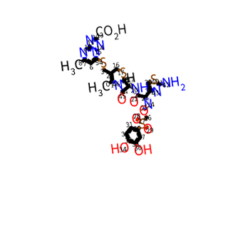 CC1=C(CSc2cc(C)nc3nc(C(=O)O)nn23)CS[C@@H]2[C@H](NC(=O)/C(=N\OCS(=O)(=O)c3ccc(O)c(O)c3)c3csc(N)n3)C(=O)N12